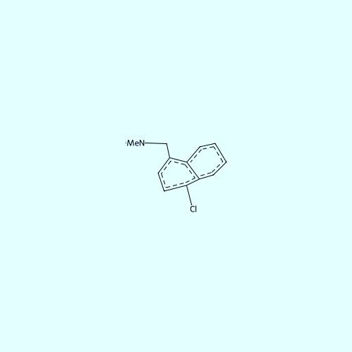 C[N]Cc1ccc(Cl)c2ccccc12